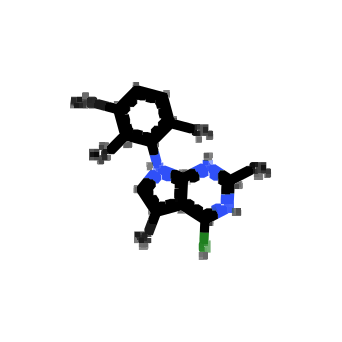 COc1ccc(C)c(-n2cc(C#N)c3c(Cl)nc(C)nc32)c1C